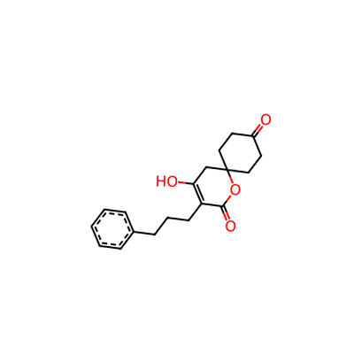 O=C1CCC2(CC1)CC(O)=C(CCCc1ccccc1)C(=O)O2